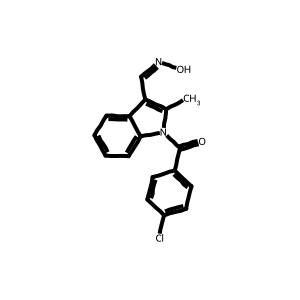 Cc1c(/C=N\O)c2ccccc2n1C(=O)c1ccc(Cl)cc1